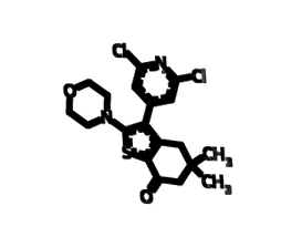 CC1(C)CC(=O)c2sc(N3CCOCC3)c(-c3cc(Cl)nc(Cl)c3)c2C1